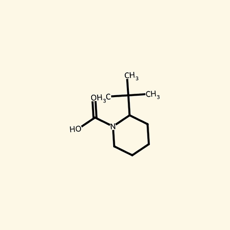 CC(C)(C)C1CCCCN1C(=O)O